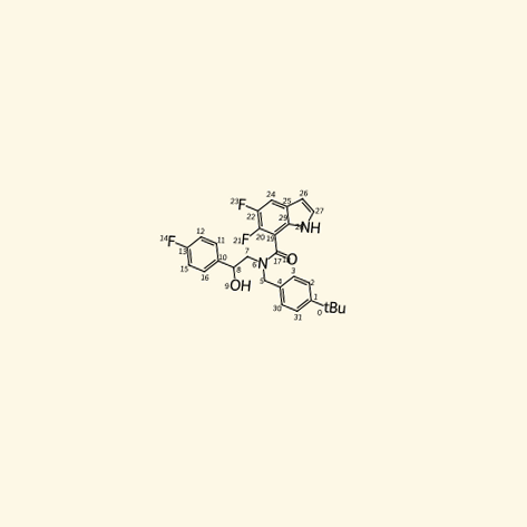 CC(C)(C)c1ccc(CN(CC(O)c2ccc(F)cc2)C(=O)c2c(F)c(F)cc3cc[nH]c23)cc1